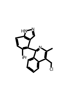 Cc1nc(-c2c(C(C)C)ccc3[nH]ncc23)c2ccccc2c1CCl